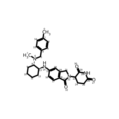 Cc1ccc(CN(C)[C@H]2CCCC[C@@H]2Nc2ccc3c(c2)CN(C2CCC(=O)NC2=O)C3=O)cc1